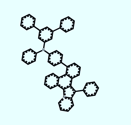 c1ccc(-c2cc(-c3ccccc3)cc(N(c3ccccc3)c3ccc(-c4cccc5c4c4ccccc4c4c5c(-c5ccccc5)c5ccccn54)cc3)c2)cc1